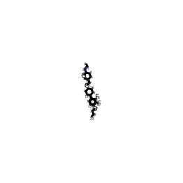 C/C=C/C1CCC(COC2CCC(c3ccc(OCCC)c(F)c3F)CC2)CO1